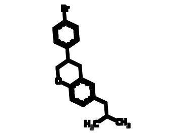 CC(C)Cc1ccc2c(c1)CC(c1ccc(Br)cc1)CO2